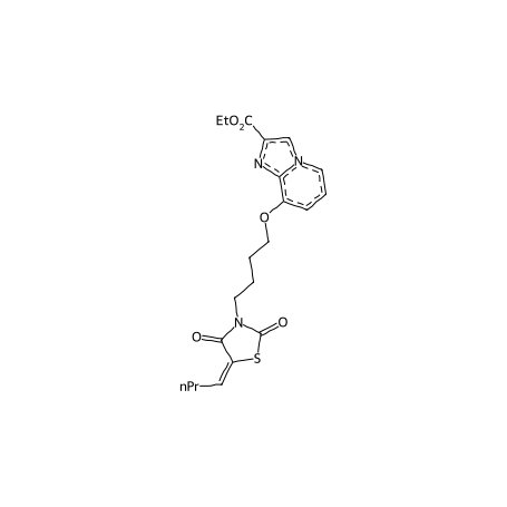 CCCC=C1SC(=O)N(CCCCOc2cccn3cc(C(=O)OCC)nc23)C1=O